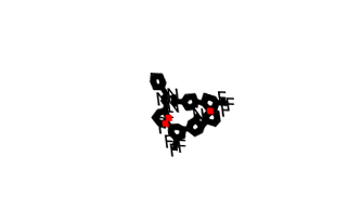 FC(F)(F)c1ccc(-c2ccc(-c3nc(-c4ccccc4)nc(-c4ccccc4)n3)cc2-n2c3ccccc3c3ccc(-c4cc(C(F)(F)F)cc(C(F)(F)F)c4)cc32)cc1